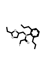 CCCc1cccc(CCC)c1N(CC1COC(CC)O1)C(=O)CI